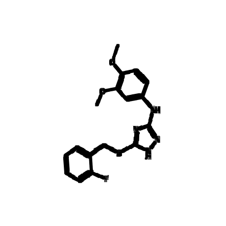 COc1ccc(Nc2n[nH]c(SCc3ccccc3F)n2)cc1OC